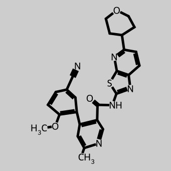 COc1ccc(C#N)cc1-c1cc(C)ncc1C(=O)Nc1nc2ccc(C3CCOCC3)nc2s1